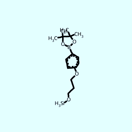 CC1(C)OB(c2ccc(OCCCO[SiH3])cc2)OC1(C)C